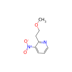 COCCc1ncccc1[N+](=O)[O-]